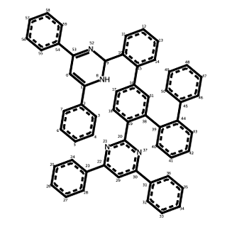 C1=C(c2ccccc2)NC(c2ccccc2-c2ccc(-c3nc(-c4ccccc4)cc(-c4ccccc4)n3)c(-c3ccccc3-c3ccccc3)c2)N=C1c1ccccc1